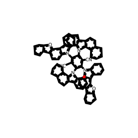 N#Cc1c(-n2c3ccccc3c3c4oc5ccccc5c4ccc32)c(-n2c3ccccc3c3ccc4ccccc4c32)c(C#N)c(-n2c3ccccc3c3c4oc5ccccc5c4ccc32)c1-n1c2ccccc2c2ccc3ccccc3c21